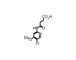 CCOc1cc(NC(=O)CCC(=O)O)ncc1Cl